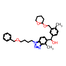 Cc1ccc(C(O)c2ccc3c(nnn3CCCCOCc3ccccc3)c2C)cc1COC1CCCCO1